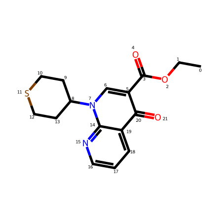 CCOC(=O)c1cn(C2CCSCC2)c2ncccc2c1=O